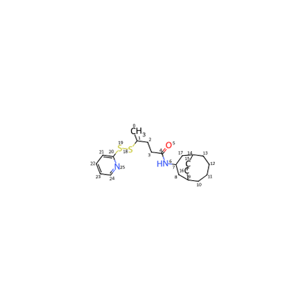 CC(CCC(=O)NC1CC2CCCCC(CC2)C1)SSc1ccccn1